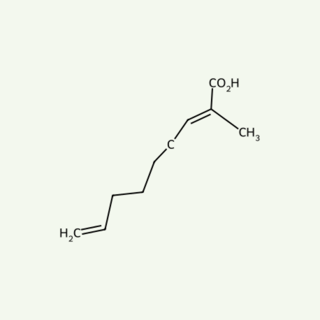 C=CCCCC/C=C(\C)C(=O)O